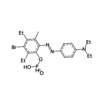 CCc1c(C)c(N=Nc2ccc(N(CC)CC)cc2)c(O[PH](=O)O)c(CC)c1Br